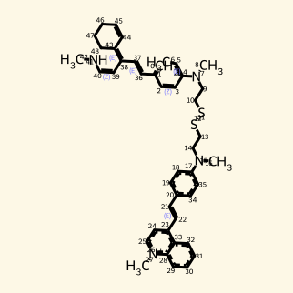 C=C(/C=C\C(=C/C)N(C)CCSSCCN(C)c1ccc(/C=C/c2cc[n+](C)c3ccccc23)cc1)/C=C/C(/C=C\NC)=C1\C=CCCC1